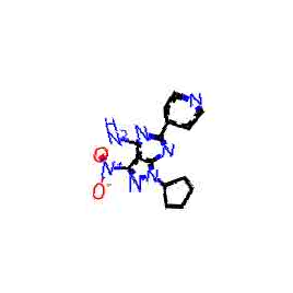 Nc1nc(-c2ccncc2)nc2c1c([N+](=O)[O-])nn2C1CCCC1